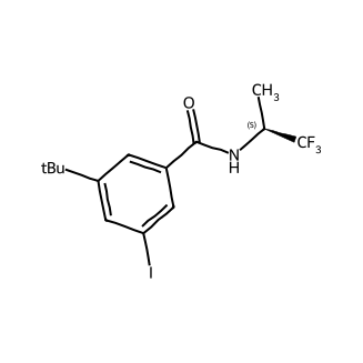 C[C@H](NC(=O)c1cc(I)cc(C(C)(C)C)c1)C(F)(F)F